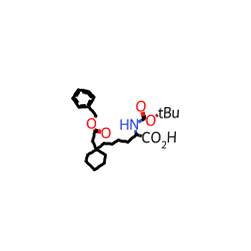 CC(C)(C)OC(=O)NC(CCCCC1(CC(=O)OCc2ccccc2)CCCCC1)C(=O)O